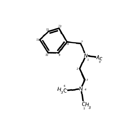 CC(=O)N(CCN(C)C)Cc1ccccc1